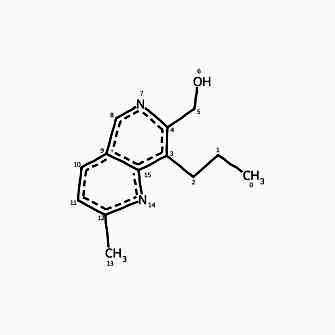 CCCc1c(CO)ncc2ccc(C)nc12